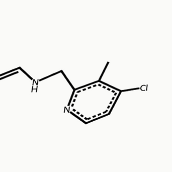 Cc1c(Cl)ccnc1CNC=O